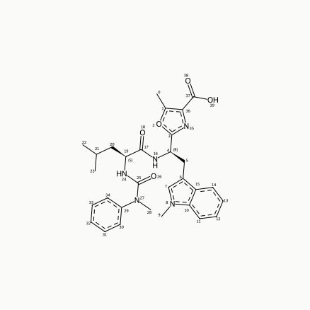 Cc1oc([C@@H](Cc2cn(C)c3ccccc23)NC(=O)[C@H](CC(C)C)NC(=O)N(C)c2ccccc2)nc1C(=O)O